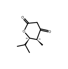 CC(C)[C@H]1OC(=O)CC(=O)[C@H]1C